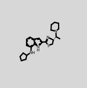 CC([C@@H]1CSC(c2cc3cccc(NC4CCCC4)c3[nH]2)=N1)N1CCCCC1